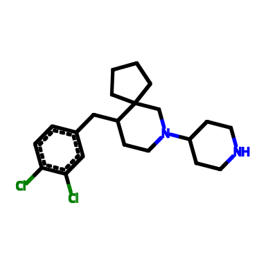 Clc1ccc(CC2CCN(C3CCNCC3)CC23CCCC3)cc1Cl